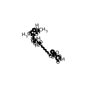 Cc1nc(=O)c2cc(CN(C)c3ccc(C(=O)N[C@@H](CCC(=O)NCCCCCCCCN(C)c4cccc5c4C(=O)N(C4CCC(=O)NCOC4)C5=O)C(=O)O)s3)ccc2[nH]1